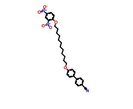 N#Cc1ccc(-c2ccc(OCCCCCCCCCCCCOc3ccc([N+](=O)[O-])cc3[N+](=O)[O-])cc2)cc1